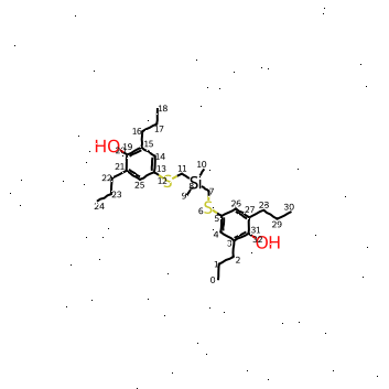 CCCc1cc(SC[Si](C)(C)CSc2cc(CCC)c(O)c(CCC)c2)cc(CCC)c1O